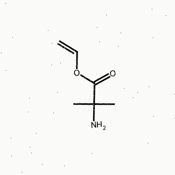 C=COC(=O)C(C)(C)N